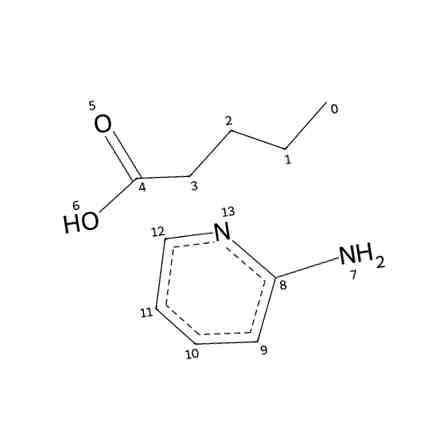 CCCCC(=O)O.Nc1ccccn1